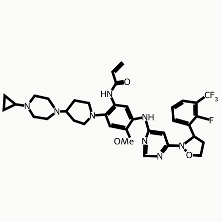 C=CC(=O)Nc1cc(Nc2cc(N3OCCC3c3cccc(C(F)(F)F)c3F)ncn2)c(OC)cc1N1CCC(N2CCN(C3CC3)CC2)CC1